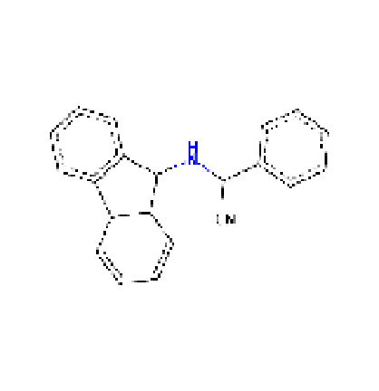 N#CC(NC1c2ccccc2C2C=CC=CC21)c1ccccc1